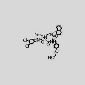 N#CCN(C(=O)NCc1ccc(Cl)c(Cl)c1)N1CCN(Cc2cccc3ccccc23)C(=O)[C@H](Cc2ccc(OCCO)cc2)NC(=O)C1